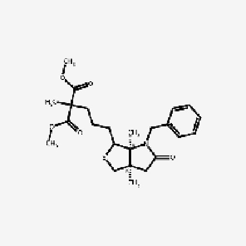 COC(=O)C(C)(CCCC1SC[C@]2(C)CC(=O)N(Cc3ccccc3)[C@]12C)C(=O)OC